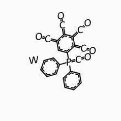 O=C=c1cc(P(=C=O)(c2ccccc2)c2ccccc2)c(=C=O)c(=C=O)c1=C=O.[W]